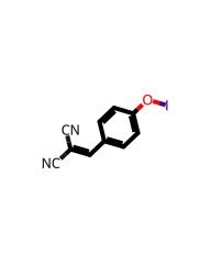 N#CC(C#N)=Cc1ccc(OI)cc1